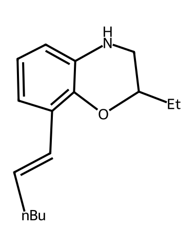 CCCC/C=C/c1cccc2c1OC(CC)CN2